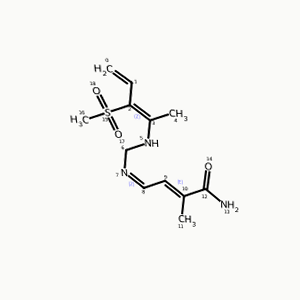 C=C/C(=C(\C)NC/N=C\C=C(/C)C(N)=O)S(C)(=O)=O